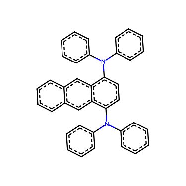 c1ccc(N(c2ccccc2)c2ccc(N(c3ccccc3)c3ccccc3)c3cc4ccccc4cc23)cc1